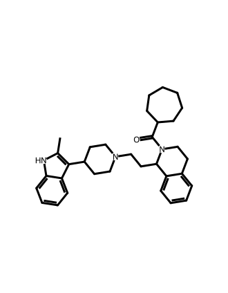 Cc1[nH]c2ccccc2c1C1CCN(CCC2c3ccccc3CCN2C(=O)C2CCCCCC2)CC1